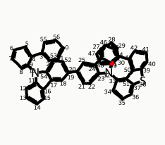 c1ccc(-c2ccccc2-n2c3ccccc3c3cc(-c4ccc5c(c4)c4ccccc4n5-c4cccc5sc6cccc(-c7ccccc7)c6c45)ccc32)cc1